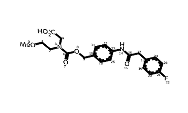 COCCN(CC(=O)O)C(=O)OCc1ccc(NC(=O)Cc2ccc(F)cc2)cc1